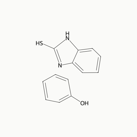 Oc1ccccc1.Sc1nc2ccccc2[nH]1